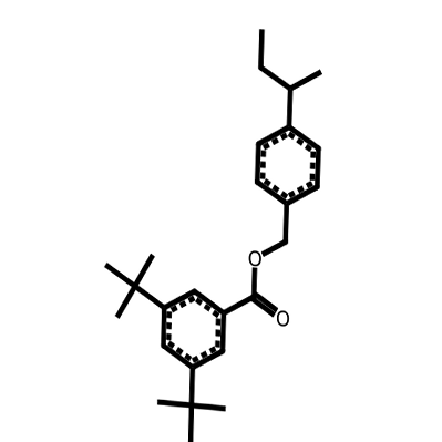 CCC(C)c1ccc(COC(=O)c2cc(C(C)(C)C)cc(C(C)(C)C)c2)cc1